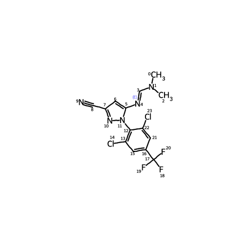 CN(C)/C=N/c1cc(C#N)nn1-c1c(Cl)cc(C(F)(F)F)cc1Cl